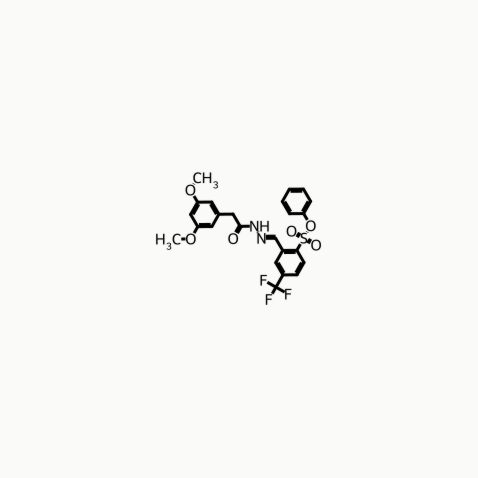 COc1cc(CC(=O)NN=Cc2cc(C(F)(F)F)ccc2S(=O)(=O)Oc2ccccc2)cc(OC)c1